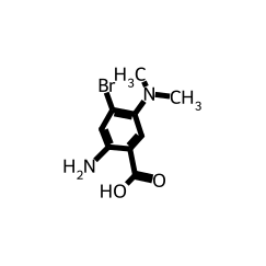 CN(C)c1cc(C(=O)O)c(N)cc1Br